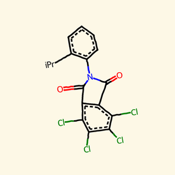 CC(C)c1ccccc1N1C(=O)c2c(Cl)c(Cl)c(Cl)c(Cl)c2C1=O